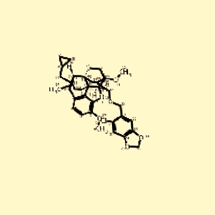 COc1ccc2c3c1O[C@H]1[C@@]4(OC)CC[C@@]5(C[C@@H]4COCc4cc6c(cc4Cl)OCO6)[C@@H](C2)C(C)(CC2CC2)CC[C@]315